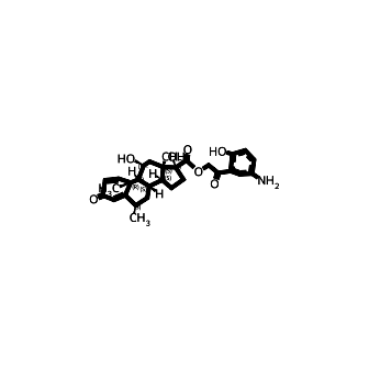 C[C@H]1C[C@@H]2[C@H]([C@@H](O)C[C@@]3(C)[C@H]2CC[C@]3(O)C(=O)OCC(=O)c2cc(N)ccc2O)[C@@]2(C)C=CC(=O)C=C12